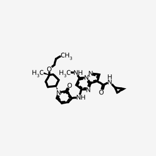 CCCO[C@]1(C)CC[C@H](n2cccc(Nc3cc(NC)n4ncc(C(=O)NC5CC5)c4n3)c2=O)CC1